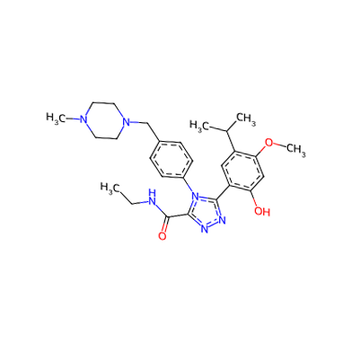 CCNC(=O)c1nnc(-c2cc(C(C)C)c(OC)cc2O)n1-c1ccc(CN2CCN(C)CC2)cc1